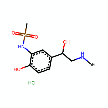 CC(C)NCC(O)c1ccc(O)c(NS(C)(=O)=O)c1.Cl